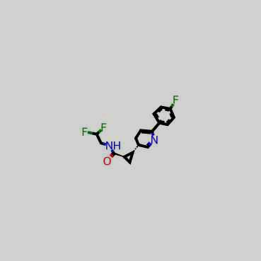 O=C(NCC(F)F)[C@@H]1C[C@H]1C1C=NC(c2ccc(F)cc2)=CC1